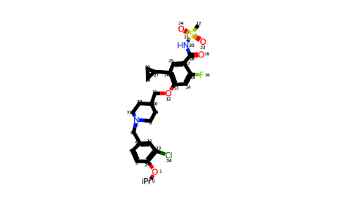 CC(C)Oc1ccc(CN2CCC(COc3cc(F)c(C(=O)NS(C)(=O)=O)cc3C3CC3)CC2)cc1Cl